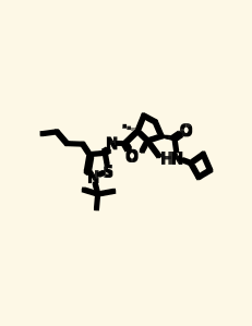 CCCCc1cn(C(C)(C)C)s/c1=N\C(=O)[C@@]1(C)CC[C@@H](C(=O)NC2CCC2)C1(C)C